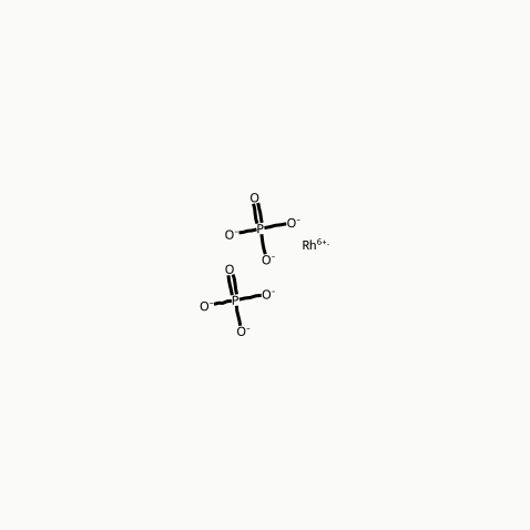 O=P([O-])([O-])[O-].O=P([O-])([O-])[O-].[Rh+6]